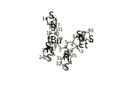 CCC(C)(C)C(CC(CC(CC(CN1C2CSC1CS2)CC(C)(C)C)CN1C2CSC1CS2)CN1C2CSC1CS2)CN1C2CSC1CS2